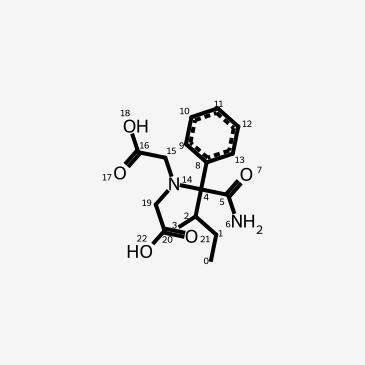 CCC(C)C(C(N)=O)(c1ccccc1)N(CC(=O)O)CC(=O)O